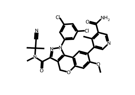 COc1cc2c(cc1-c1cncc(C(N)=O)c1C)-c1c(c(C(=O)N(C)C(C)(C)C#N)nn1-c1cc(Cl)cc(Cl)c1)CO2